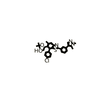 Cc1cc2nc(-c3cccc(-c4cnn(C)c4C)c3)sc2c(-c2ccc(Cl)cc2)c1C(CO)OC(C)(C)C